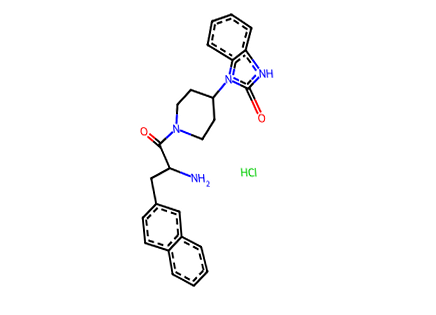 Cl.NC(Cc1ccc2ccccc2c1)C(=O)N1CCC(n2c(=O)[nH]c3ccccc32)CC1